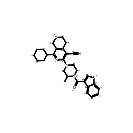 CC1CN(c2nc(C3CCCCC3)c3c(c2C#N)CCOC3)CCN1C(=O)c1csc2ccccc12